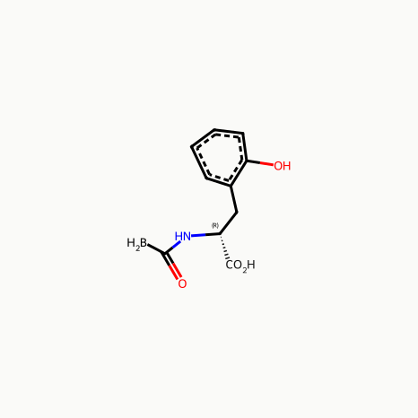 BC(=O)N[C@H](Cc1ccccc1O)C(=O)O